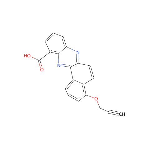 C#CCOc1cccc2c1ccc1nc3cccc(C(=O)O)c3nc12